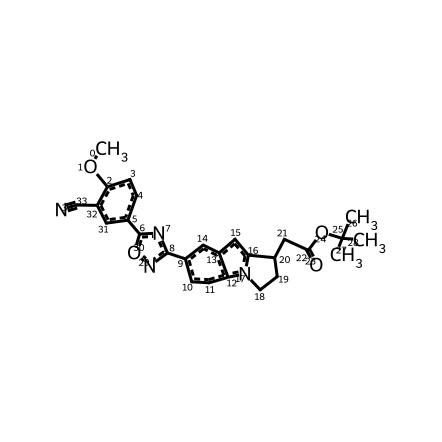 COc1ccc(-c2nc(-c3ccc4c(c3)cc3n4CCC3CC(=O)OC(C)(C)C)no2)cc1C#N